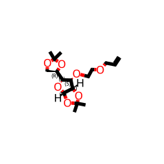 C=CCOCCO[C@@H]1[C@H]2OC(C)(C)O[C@H]2O[C@@H]1[C@H]1COC(C)(C)O1